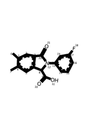 Cc1cc2c(cc1C)C(C(=O)O)N(c1cccc(F)c1)C2=O